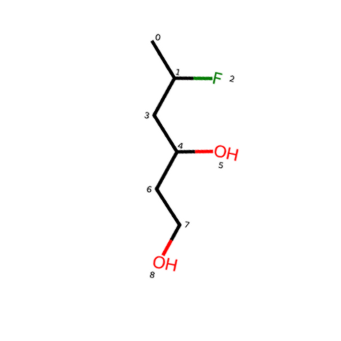 CC(F)CC(O)CCO